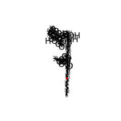 CCCCCCCCCCCCCCCCC(=O)OCC(COP(=O)(O)OCCC)OC(=O)CCCCCCCCN[C@H]1CC(O[C@H]2C[C@](O)(C(=O)CO)Cc3c(O)c4c(c(O)c32)C(=O)c2c(OC)cccc2C4=O)O[C@@H](C)[C@H]1O